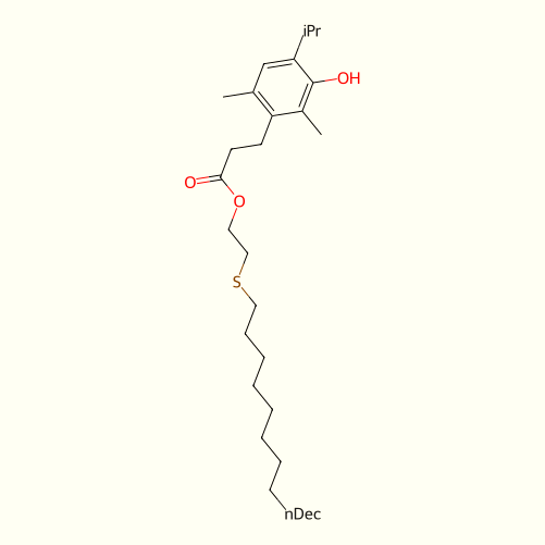 CCCCCCCCCCCCCCCCCCSCCOC(=O)CCc1c(C)cc(C(C)C)c(O)c1C